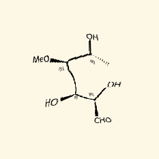 CO[C@H]([C@H](O)[C@@H](O)C=O)[C@@H](C)O